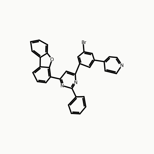 Brc1cc(-c2ccncc2)cc(-c2cc(-c3cccc4c3oc3ccccc34)nc(-c3ccccc3)n2)c1